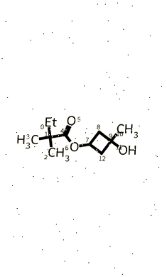 CCC(C)(C)C(=O)OC1CC(C)(O)C1